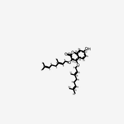 CC(C)=CCC/C(C)=C/COc1c(OC/C=C(\C)CCC=C(C)C)c2ccc(O)cc2oc1=O